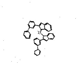 C1=C(c2cccc(-c3ccccc3)c2)[CH]([Zr][CH]2C(c3cccc(-c4ccccc4)c3)=Cc3ccccc32)c2ccccc21